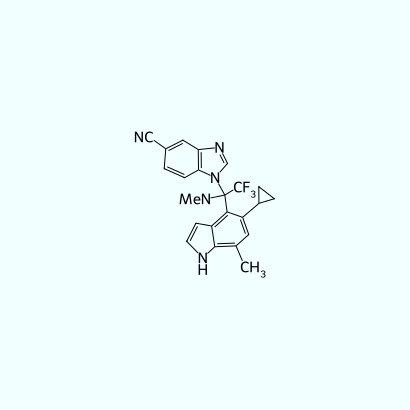 CNC(c1c(C2CC2)cc(C)c2[nH]ccc12)(n1cnc2cc(C#N)ccc21)C(F)(F)F